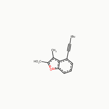 Cc1c(C(=O)O)oc2cccc(C#CC(C)(C)C)c12